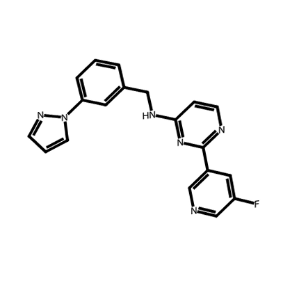 Fc1cncc(-c2nccc(NCc3cccc(-n4cccn4)c3)n2)c1